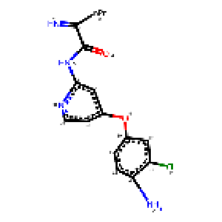 CCCC(=N)C(=O)Nc1cc(Oc2ccc(N)c(Cl)c2)ccn1